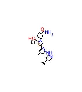 CCC(O)(c1ncc(-c2cc(C)cc(Nc3cc(C4CC4)ccn3)n2)s1)[C@H]1CC[C@H](C(N)=O)CC1